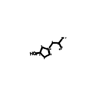 OC1CCN(CC(F)F)C1